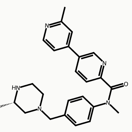 Cc1cc(-c2ccc(C(=O)N(C)c3ccc(CN4CCN[C@@H](C)C4)cc3)nc2)ccn1